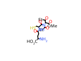 CCC(=O)C(C(=O)OC)N(C(=O)CC)C(=O)C(CS)NC(=O)CCC(N)C(=O)O